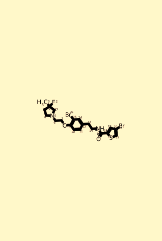 CC1(F)CCN(CCOc2ccc(CCNC(=O)c3cc(Br)cs3)cc2Br)C1